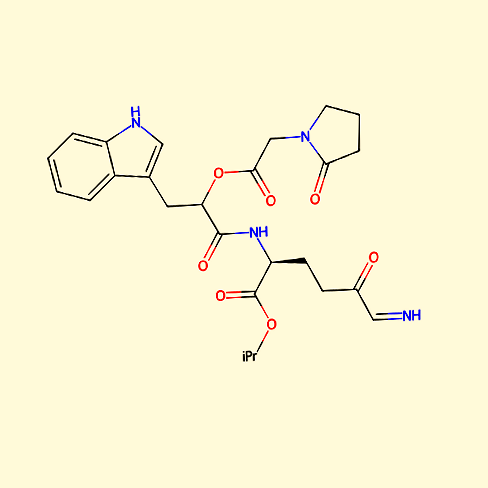 CC(C)OC(=O)[C@H](CCC(=O)C=N)NC(=O)C(Cc1c[nH]c2ccccc12)OC(=O)CN1CCCC1=O